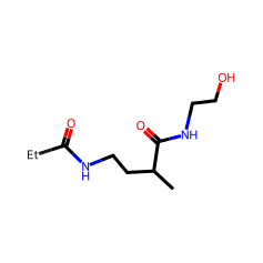 CCC(=O)NCCC(C)C(=O)NCCO